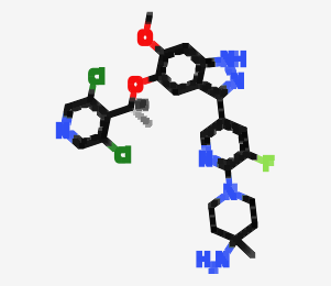 COc1cc2[nH]nc(-c3cnc(N4CCC(C)(N)CC4)c(F)c3)c2cc1O[C@H](C)c1c(Cl)cncc1Cl